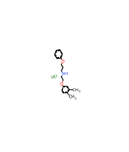 Cc1ccc(OCCNCCCOc2ccccc2)cc1C.Cl